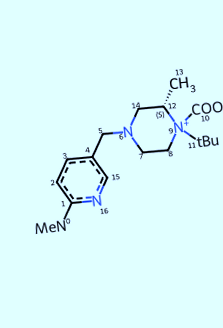 CNc1ccc(CN2CC[N+](C(=O)[O-])(C(C)(C)C)[C@@H](C)C2)cn1